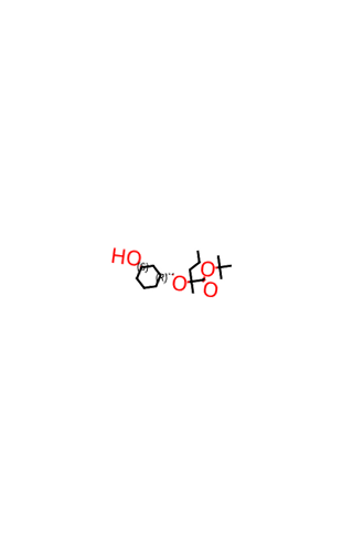 CCCC(C)(OC[C@@H]1CCC[C@H](O)C1)C(=O)OC(C)(C)C